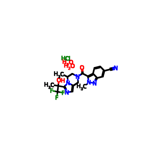 CC1CN(C(=O)c2c3ccc(C#N)cc3nn2C)Cc2cnc(C(C)(O)C(F)(F)F)n21.Cl.O.O